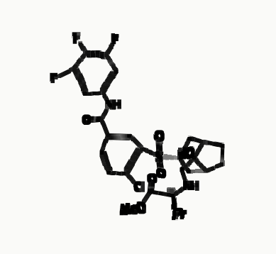 COC(=O)[C@@H](NC[C@]1(O)C2CCC1C[C@@H](S(=O)(=O)c1cc(C(=O)Nc3cc(F)c(F)c(F)c3)ccc1Cl)C2)C(C)C